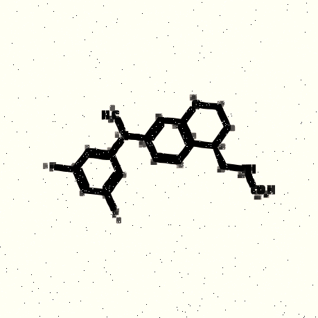 CN(c1cc(F)cc(F)c1)c1ccc2c(c1)OCC[C@H]2CNC(=O)O